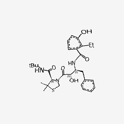 CCc1c(O)cccc1C(=O)N[C@@H](Cc1ccccc1)[C@H](O)C(=O)N1CSC(C)(C)[C@H]1C(=O)NC(C)(C)C